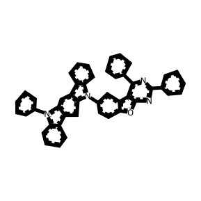 c1ccc(-c2nc(-c3ccccc3)c3c(n2)oc2ccc(-n4c5ccccc5c5cc6c(cc54)c4ccccc4n6-c4ccccc4)cc23)cc1